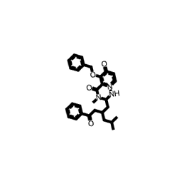 CC(C)CC(CC(=O)c1ccccc1)CC1Nn2ccc(=O)c(OCc3ccccc3)c2C(=O)N1C